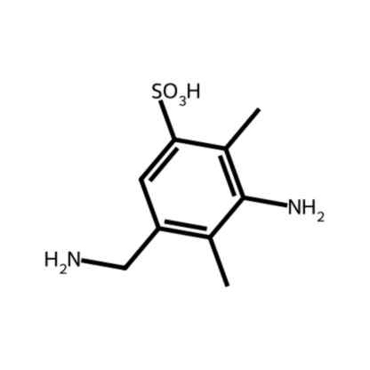 Cc1c(CN)cc(S(=O)(=O)O)c(C)c1N